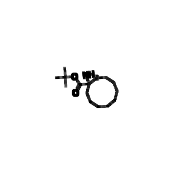 CC(C)(C)OC(=O)C1(N)CCCCCCCCC1